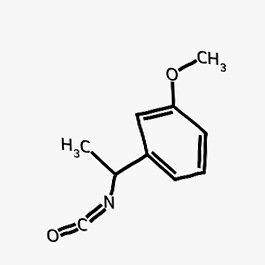 COc1cccc(C(C)N=C=O)c1